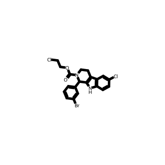 O=C(OCCCl)N1CCc2c([nH]c3ccc(Cl)cc23)C1c1cccc(Br)c1